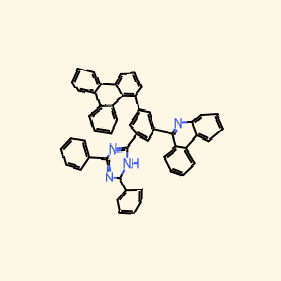 c1ccc(C2=NC(c3ccccc3)NC(c3cc(-c4nc5ccccc5c5ccccc45)cc(-c4cccc5c6ccccc6c6ccccc6c45)c3)=N2)cc1